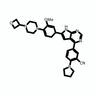 COC1=CC(c2cc3c(-c4ccc(N5CCCC5)c(C#N)c4)ncnc3[nH]2)CC=C1N1CCN(C2COC2)CC1